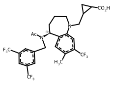 CC(=O)N(Cc1cc(C(F)(F)F)cc(C(F)(F)F)c1)[C@H]1CCCN(CC2CC2C(=O)O)c2cc(C(F)(F)F)c(C)cc21